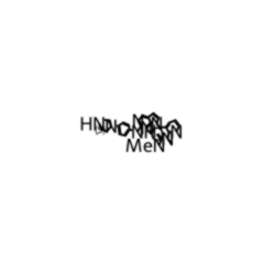 CNC(=O)N(C)c1ncccc1Cn1ccc2cnc(Nc3ccc(N4CCN[C@@H](C)C4)cc3)nc21